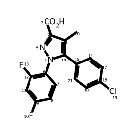 Cc1c(C(=O)O)nn(-c2ccc(F)cc2F)c1-c1ccc(Cl)cc1